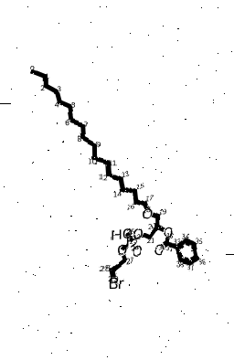 CCCCCCCCCCCCCCCCCCOCC(COP(=O)(O)OCCBr)OC(=O)c1ccccc1